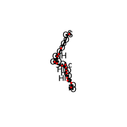 CC(=O)[C@@H](CNC(=O)COCC(=O)Nc1ccc(CCC(=O)N2CCC2=O)cc1)NC(=O)CCSC1CC(=O)N(CCC(=O)NCCOCCOCCOCCOCCC(=O)C2SS2)C1=O